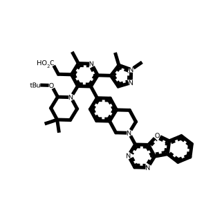 Cc1nc(-c2cnn(C)c2C)c(-c2ccc3c(c2)CCN(c2ncnc4c2oc2ccccc24)C3)c(N2CCC(C)(C)CC2OC(C)(C)C)c1CC(=O)O